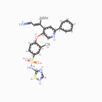 CN/C(=C\C=N)c1cc(-c2ccccc2)ncc1Oc1ccc(S(=O)(=O)Nc2ncns2)cc1C#N